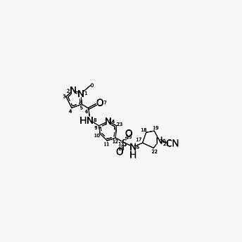 Cn1nccc1C(=O)Nc1ccc(S(=O)(=O)NC2CCN(C#N)C2)cn1